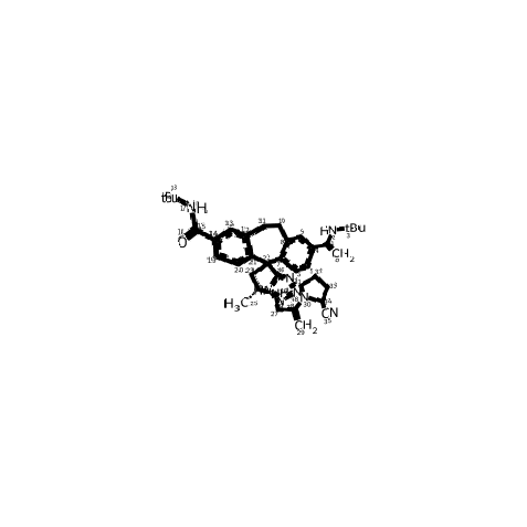 C=C(NC(C)(C)C)c1ccc2c(c1)CCc1cc(C(=O)NC(C)(C)C)ccc1C2(C[C@@H](C)NCC(=C)N1CCCC1C#N)c1nnn[nH]1